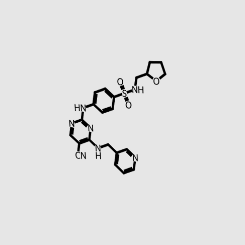 N#Cc1cnc(Nc2ccc(S(=O)(=O)NCC3CCCO3)cc2)nc1NCc1cccnc1